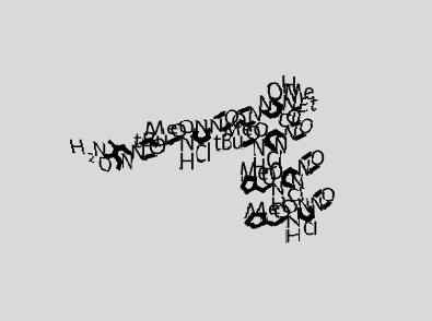 CCC(=O)Nc1c(Cl)cc(N2CCOCC2)nc1OC.COc1cc(N2CCOCC2)nc(Cl)c1NC(=O)CC(C)(C)C.COc1cc(N2CCOCC2)nc(Cl)c1NC(=O)CC1CCCC1.COc1nc(N2CCOCC2)cc(Cl)c1NC(=O)CC(C)(C)C.COc1nc(N2CCOCC2)cc(Cl)c1NC(=O)CC1CCCC1.Cc1cc(N2CCOCC2)nc(C)c1C(N)=O